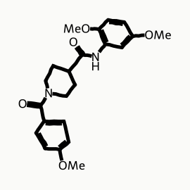 COc1ccc(C(=O)N2CCC(C(=O)Nc3cc(OC)ccc3OC)CC2)cc1